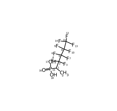 CC(C(F)(F)C(F)(F)C(F)(F)C(F)(F)F)P(=O)(O)O